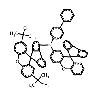 CC(C)(C)c1ccc2c(c1)C1(c3cc(C(C)(C)C)ccc3O2)c2ccccc2-c2c(N(c3ccc(-c4ccccc4)cc3)c3ccc4c(c3)C3(c5ccccc5O4)c4ccccc4-c4ccccc43)cccc21